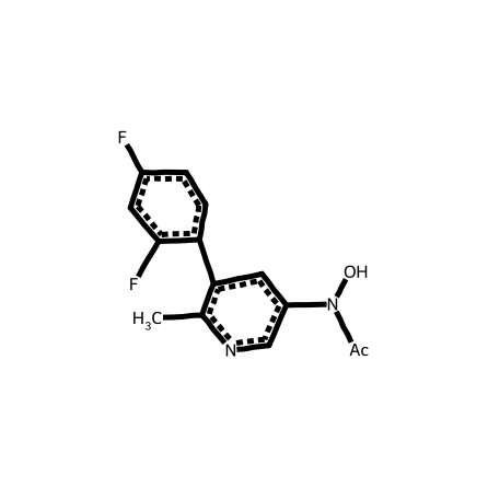 CC(=O)N(O)c1cnc(C)c(-c2ccc(F)cc2F)c1